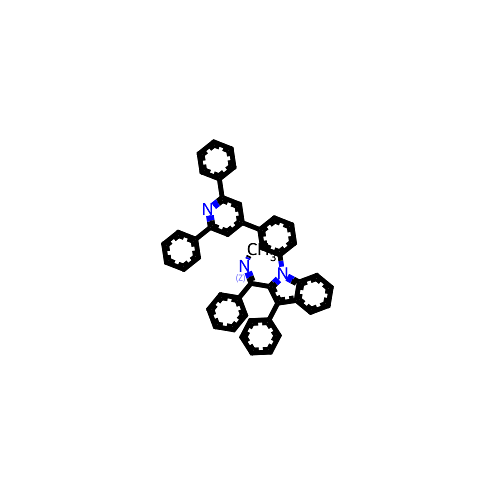 C/N=C(/c1ccccc1)c1c(-c2ccccc2)c2ccccc2n1-c1cccc(-c2cc(-c3ccccc3)nc(-c3ccccc3)c2)c1